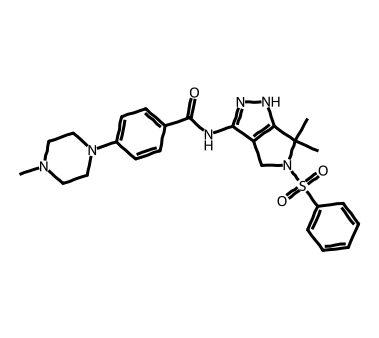 CN1CCN(c2ccc(C(=O)Nc3n[nH]c4c3CN(S(=O)(=O)c3ccccc3)C4(C)C)cc2)CC1